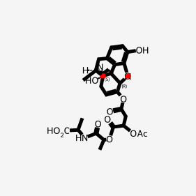 CC(=O)OC(CC(=O)OC1=CC[C@@]2(O)[C@H]3Cc4ccc(O)c5c4[C@@]2(CCN3C)[C@H]1O5)C(=O)OC(C)C(=O)NC(C)C(=O)O